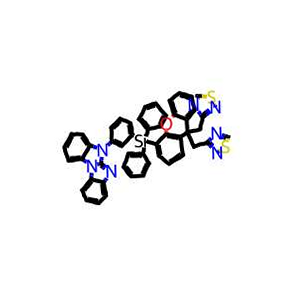 c1ccc([Si](c2ccccc2)(c2cccc(-n3c4ccccc4n4c5ccccc5nc34)c2)c2cccc3c2Oc2ccccc2C3(Cc2ncsn2)Cc2ncsn2)cc1